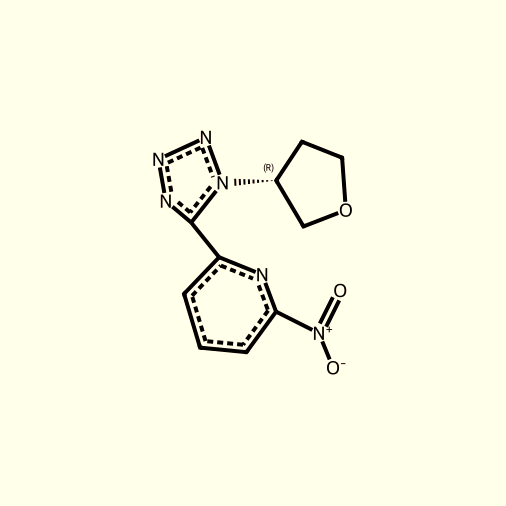 O=[N+]([O-])c1cccc(-c2nnnn2[C@@H]2CCOC2)n1